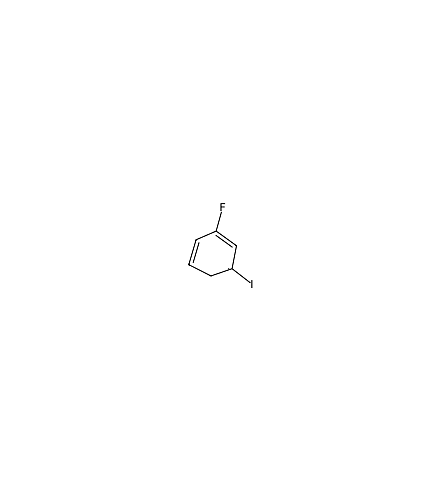 FC1=C[C](I)CC=C1